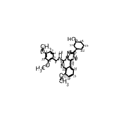 COc1ccc(CNc2nc3c(OC)cccc3c3nc(C4CCCC(O)C4)nn23)c(OC)c1